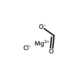 O=C[O-].[Cl-].[Mg+2]